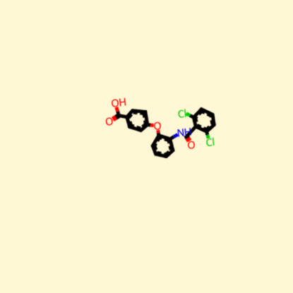 O=C(O)c1ccc(Oc2ccccc2NC(=O)c2c(Cl)cccc2Cl)cc1